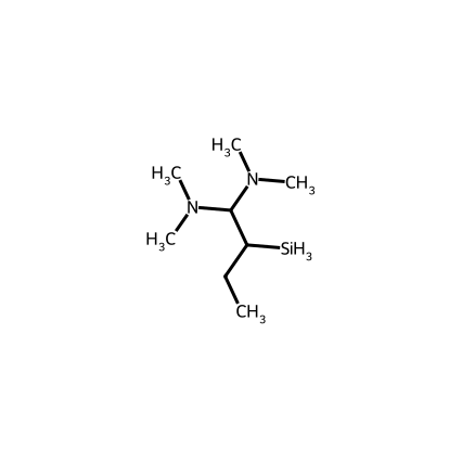 CCC([SiH3])C(N(C)C)N(C)C